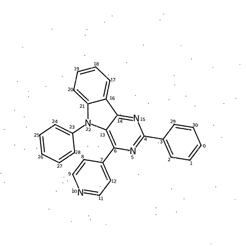 c1ccc(-c2nc(-c3ccncc3)c3c(n2)c2ccccc2n3-c2ccccc2)cc1